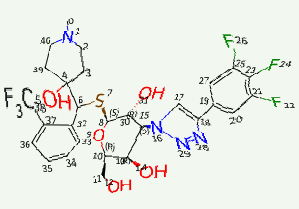 CN1CCC(O)(C(S[C@@H]2O[C@H](CO)[C@H](O)[C@H](n3cc(-c4cc(F)c(F)c(F)c4)nn3)[C@H]2O)c2ccccc2C(F)(F)F)CC1